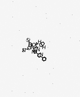 C[Si](C)(C)CCOCN(COCC[Si](C)(C)C)c1c(C2(O)CC2)c([C@H]2C[C@@H]3CC[C@@H](C3)C2)nc2c(-c3ccc(-c4ccccc4)nc3)cnn12